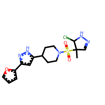 CC1(S(=O)(=O)N2CCC(c3cc(-c4ccco4)n[nH]3)CC2)C=NNC1Cl